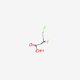 O=C(O)[C](F)CF